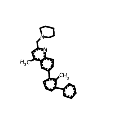 Cc1c(-c2ccccc2)cccc1-c1ccc2nc(CN3CCCCC3)cc(C)c2c1